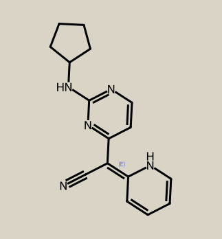 N#C/C(=C1\C=CC=CN1)c1ccnc(NC2CCCC2)n1